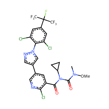 CON(C)C(=O)N(C(=O)c1cc(-c2cnn(-c3c(Cl)cc(C(F)(C(F)(F)F)C(F)(F)F)cc3Cl)c2)cnc1Cl)C1CC1